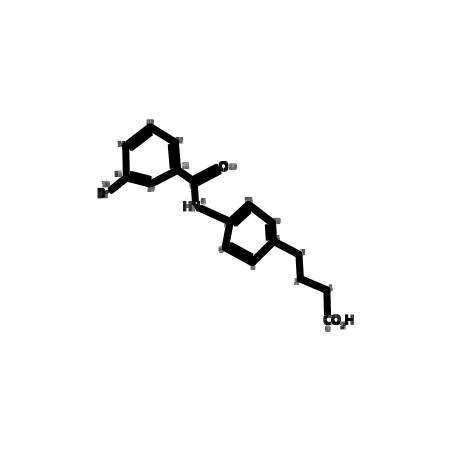 O=C(O)CCCc1ccc(NC(=O)c2cccc(Br)c2)cc1